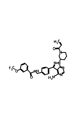 C=CC(=O)N1CCC[C@@H](n2nc(-c3ccc(CNC(=O)c4cccc(OC(F)(F)F)c4)cc3)c3c(N)ncnc32)C1